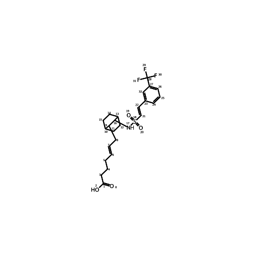 O=C(O)CCCC=CCC1C2CCC(CC2)C1NS(=O)(=O)C=Cc1cccc(C(F)(F)F)c1